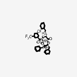 O=C(NO[C@H](COCc1ccccc1)C(=O)NO[C@@H](Cc1ccccc1)C(=O)Nc1ccccc1)c1cc(C(F)(F)F)cc(C(F)(F)F)c1